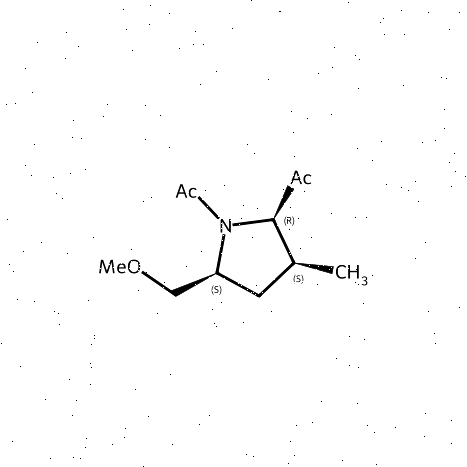 COC[C@@H]1C[C@H](C)[C@H](C(C)=O)N1C(C)=O